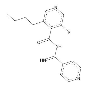 CCCCc1cncc(F)c1C(=O)NC(=N)c1ccncc1